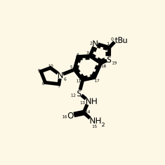 CC(C)(C)c1nc2cc(N3CCCC3)c(SNC(N)=O)cc2s1